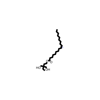 CCCCCCCC/C=C\CCCCCCCC(=O)OCCC(CC)(CO)CO